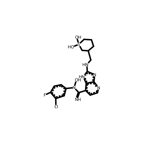 N=C(c1ccnc2nc(NCC3CCCS(O)(O)C3)[nH]c12)N(O)c1ccc(F)c(Cl)c1